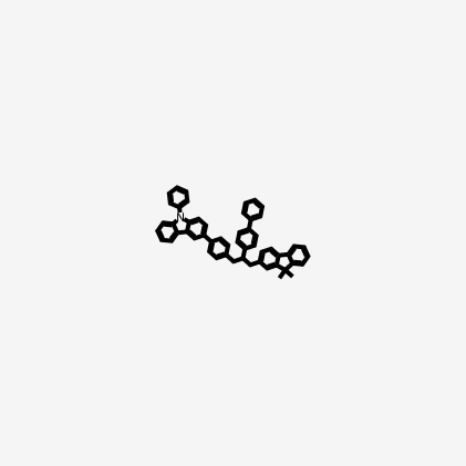 CC1(C)c2ccccc2-c2ccc(CC(Cc3ccc(-c4ccc5c(c4)c4ccccc4n5-c4ccccc4)cc3)c3ccc(-c4ccccc4)cc3)cc21